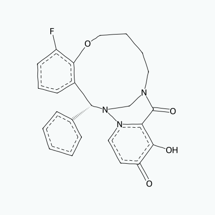 O=C1c2c(O)c(=O)ccn2N2CN1CCCCOc1c(F)cccc1[C@H]2c1ccccc1